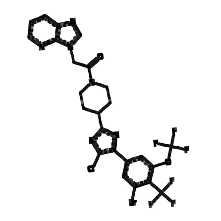 O=C(Cn1cnc2cccnc21)N1CCC(c2nc(-c3cc(Br)c(C(F)(F)F)c(OC(F)(F)F)c3)c(Cl)s2)CC1